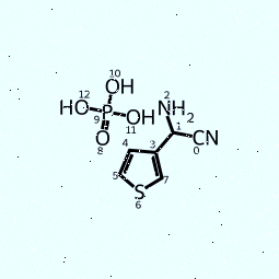 N#CC(N)c1ccsc1.O=P(O)(O)O